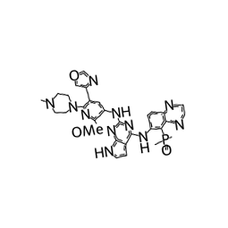 COc1nc(N2CCN(C)CC2)c(-c2cocn2)cc1Nc1nc(Nc2ccc3nccnc3c2P(C)(C)=O)c2cc[nH]c2n1